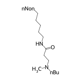 CCCCCCCCCCCCCCNC(=O)CCN(C)CCCC